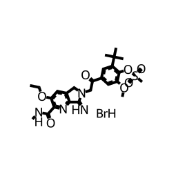 Br.CCOc1cc2c(nc1C(=O)NC)C(=N)N(CC(=O)c1cc(OC)c(OS(C)(=O)=O)c(C(C)(C)C)c1)C2